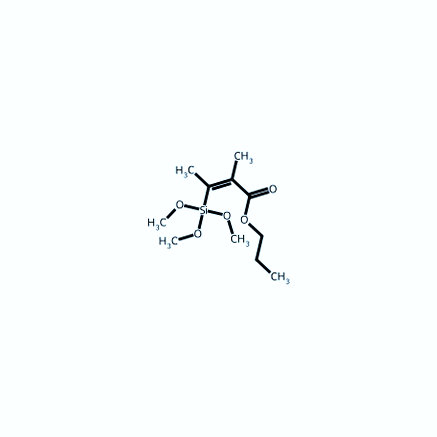 CCCOC(=O)C(C)=C(C)[Si](OC)(OC)OC